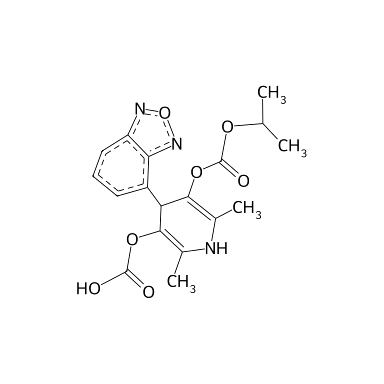 CC1=C(OC(=O)O)C(c2cccc3nonc23)C(OC(=O)OC(C)C)=C(C)N1